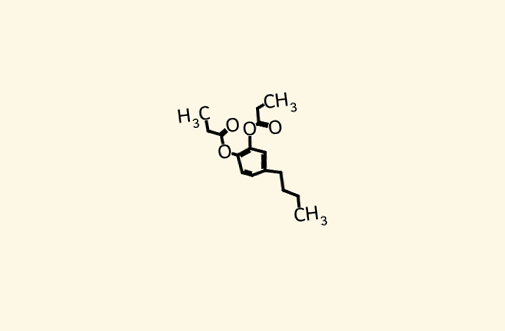 CCCCc1ccc(OC(=O)CC)c(OC(=O)CC)c1